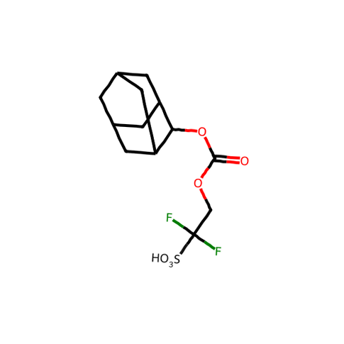 O=C(OCC(F)(F)S(=O)(=O)O)OC1C2CC3CC(C2)CC1C3